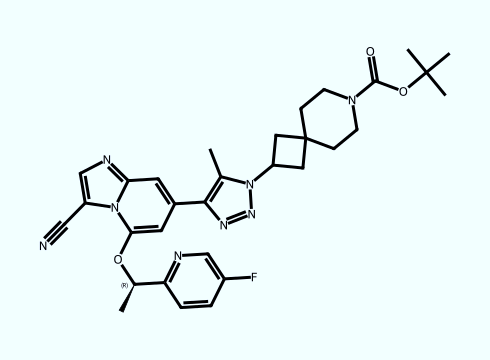 Cc1c(-c2cc(O[C@H](C)c3ccc(F)cn3)n3c(C#N)cnc3c2)nnn1C1CC2(CCN(C(=O)OC(C)(C)C)CC2)C1